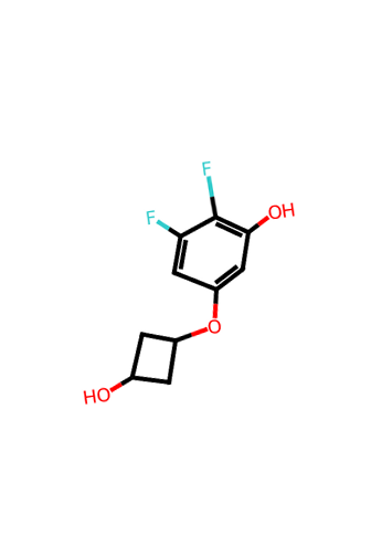 Oc1cc(OC2CC(O)C2)cc(F)c1F